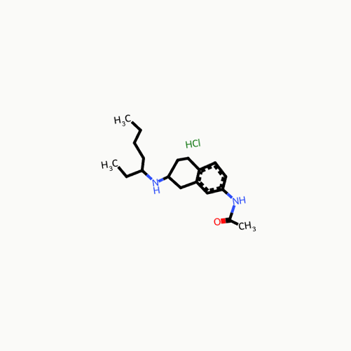 CCCCC(CC)NC1CCc2ccc(NC(C)=O)cc2C1.Cl